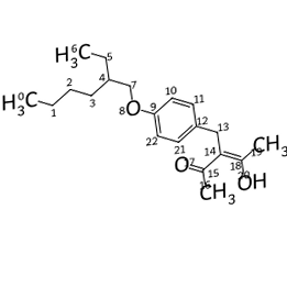 CCCCC(CC)COc1ccc(C/C(C(C)=O)=C(\C)O)cc1